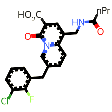 CCCC(=O)NCc1cc(C(=O)O)c(=O)n2cc(Cc3cccc(Cl)c3F)ccc12